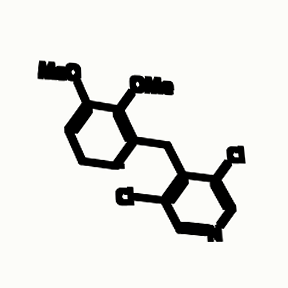 COC1=CC[CH]C(Cc2c(Cl)cncc2Cl)=C1OC